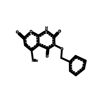 CCCCc1cc(=O)oc2[nH]c(=O)n(OCc3ccccc3)c(=O)c12